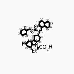 CCC(C(=O)O)n1c2c(c3cc(F)ccc31)CC(N(Cc1cccc3ccccc13)C(=O)OCc1ccccc1)CC2